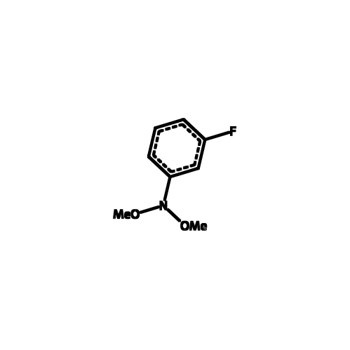 CON(OC)c1cccc(F)c1